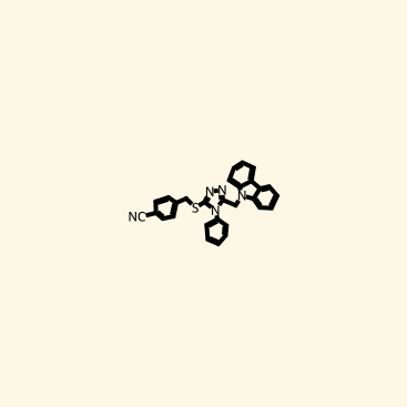 N#Cc1ccc(CSc2nnc(Cn3c4ccccc4c4ccccc43)n2-c2ccccc2)cc1